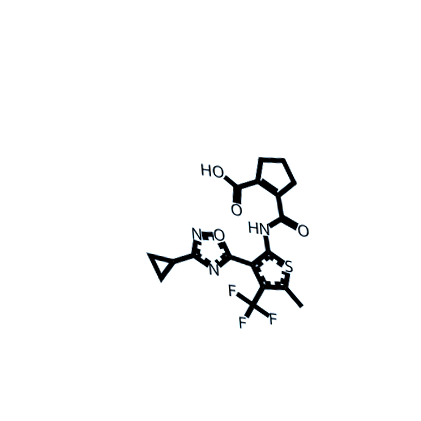 Cc1sc(NC(=O)C2=C(C(=O)O)CCC2)c(-c2nc(C3CC3)no2)c1C(F)(F)F